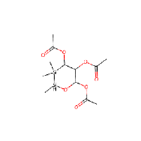 CC(=O)OC1O[SiH](C)[Si](C)(C)C(OC(C)=O)C1OC(C)=O